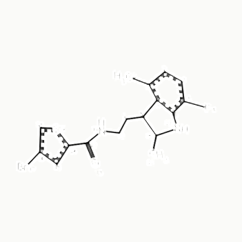 Cc1ccc(F)c2c1C(CCNC(=O)c1cc(Br)cs1)C(C)N2